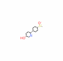 C[S+]([O-])c1ccc(-c2ccc(O)cn2)cc1